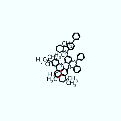 CC(C)(C)c1ccc(N2c3cc4c(cc3B3c5ccccc5N(c5ccccc5)c5cc(N6c7ccc(-c8ccccc8)cc7C7(C)CCCCC67C)cc2c53)C(C)(C)CCC4(C)C)c(-c2ccccc2)c1